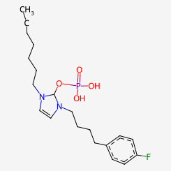 CCCCCCCN1C=CN(CCCCc2ccc(F)cc2)C1OP(=O)(O)O